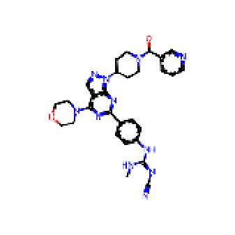 CN/C(=N\C#N)Nc1ccc(-c2nc(N3CCOCC3)c3cnn(C4CCN(C(=O)c5cccnc5)CC4)c3n2)cc1